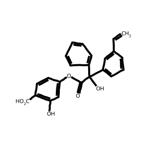 C=Cc1cccc(C(O)(C(=O)Oc2ccc(C(=O)O)c(O)c2)c2ccccc2)c1